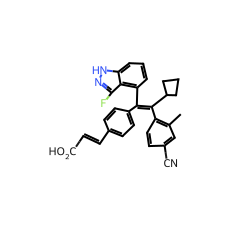 Cc1cc(C#N)ccc1C(=C(c1ccc(C=CC(=O)O)cc1)c1cccc2[nH]nc(F)c12)C1CCC1